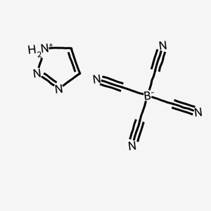 C1=C[NH2+]N=N1.N#C[B-](C#N)(C#N)C#N